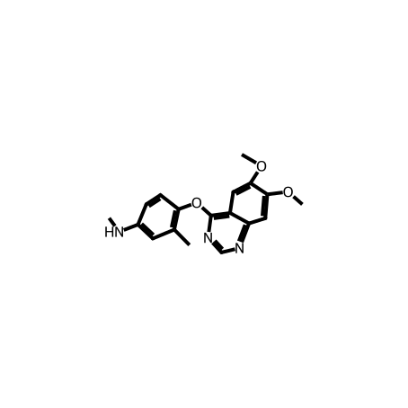 CNc1ccc(Oc2ncnc3cc(OC)c(OC)cc23)c(C)c1